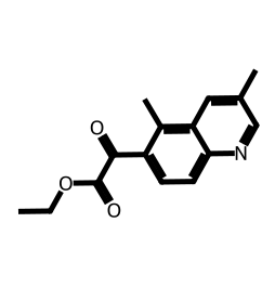 CCOC(=O)C(=O)c1ccc2ncc(C)cc2c1C